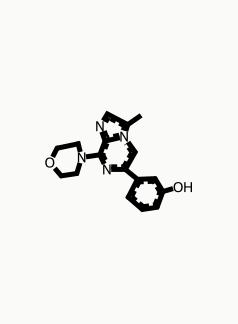 Cc1cnc2c(N3CCOCC3)nc(-c3cccc(O)c3)cn12